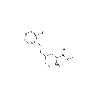 CCC(CCc1ccccc1F)CC(N)C(=O)OC